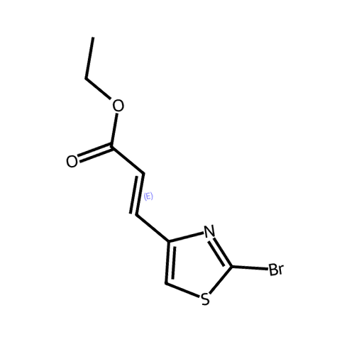 CCOC(=O)/C=C/c1csc(Br)n1